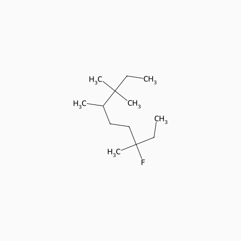 CCC(C)(F)CCC(C)C(C)(C)CC